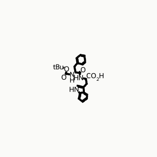 CC(C)(C)OC(=O)NC(Cc1ccccc1)C(=O)NC(Cc1c[nH]c2ccccc12)C(=O)O